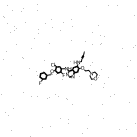 CC#CCNc1cc2c(Nc3cc(Cl)c(OCc4cccc(F)c4)cc3F)ncnc2cc1OCCN1CCOCC1